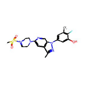 Cc1nn(-c2cc(O)c(F)c(C(F)(F)F)c2)c2cnc(N3CCN(S(C)(=O)=O)CC3)cc12